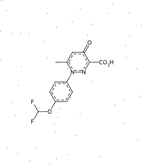 Cc1cc(=O)c(C(=O)O)nn1-c1ccc(OC(F)F)cc1